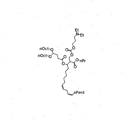 CCCCC/C=C\C/C=C\CCCCCC(OC(=O)CCC(OCCCCCCCC)OCCCCCCCC)C(COC(=O)OCCCN(CC)CC)C(=O)OCCC